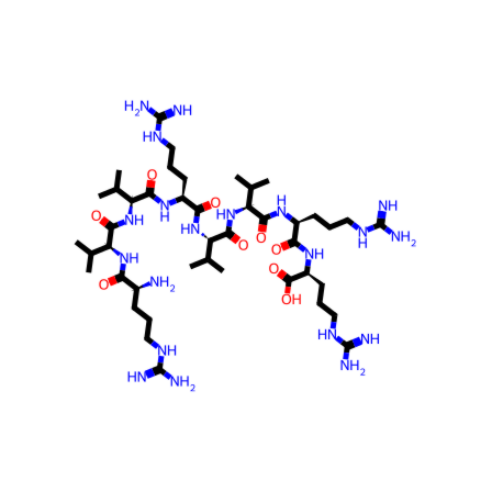 CC(C)[C@H](NC(=O)[C@H](CCCNC(=N)N)NC(=O)[C@@H](NC(=O)[C@@H](NC(=O)[C@@H](N)CCCNC(=N)N)C(C)C)C(C)C)C(=O)N[C@H](C(=O)N[C@@H](CCCNC(=N)N)C(=O)N[C@@H](CCCNC(=N)N)C(=O)O)C(C)C